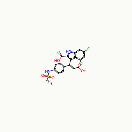 CS(=O)(=O)Nc1ccc(/C(=C/C(=O)O)c2c(C(=O)O)[nH]c3cc(Cl)cc(Cl)c23)cc1